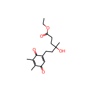 CCOC(=O)CCC(C)(O)CCC1=CC(=O)C(C)=C(C)C1=O